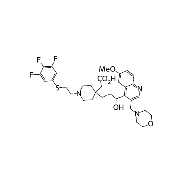 COc1ccc2ncc(CN3CCOCC3)c([C@H](O)CCC3(CC(=O)O)CCN(CCSc4cc(F)c(F)c(F)c4)CC3)c2c1